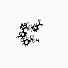 Cc1nc(-c2nnn(C)c2COc2nccc(C(C)C)n2)ccc1O[C@H]1CCC[C@H](C(=O)O)C1